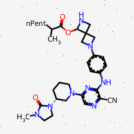 CCCCCC(C)C(=O)OC1NCC12CN(c1ccc(Nc3nc(N4CCC[C@@H](N5CCN(C)C5=O)C4)cnc3C#N)cc1)C2